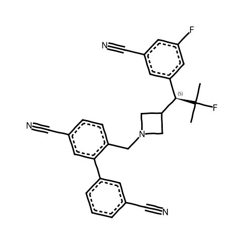 CC(C)(F)[C@H](c1cc(F)cc(C#N)c1)C1CN(Cc2ccc(C#N)cc2-c2cccc(C#N)c2)C1